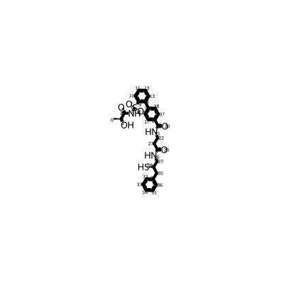 C[C@H](O)C(=O)NS(=O)(=O)c1ccccc1-c1ccc(C(=O)NCCC(=O)NC[C@H](S)Cc2ccccc2)cc1